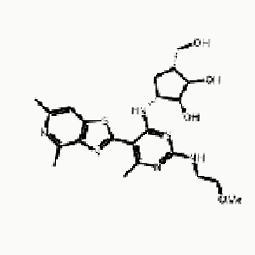 COCCNc1nc(C)c(-c2nc3c(C)nc(C)cc3s2)c(N[C@@H]2C[C@H](CO)[C@@H](O)[C@H]2O)n1